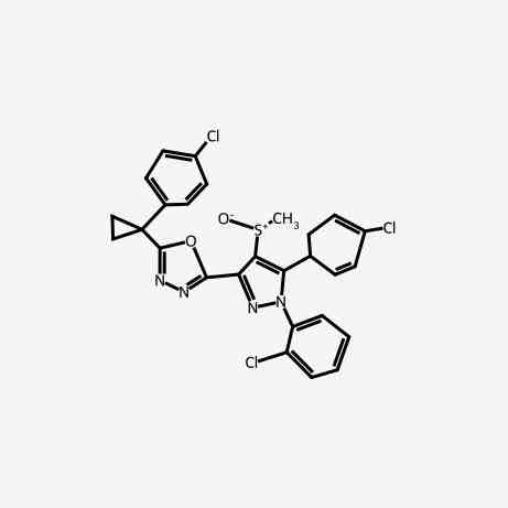 C[S+]([O-])c1c(-c2nnc(C3(c4ccc(Cl)cc4)CC3)o2)nn(-c2ccccc2Cl)c1C1C=CC(Cl)=CC1